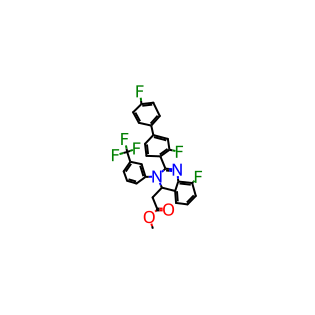 COC(=O)CC1c2cccc(F)c2N=C(c2ccc(-c3ccc(F)cc3)cc2F)N1c1cccc(C(F)(F)F)c1